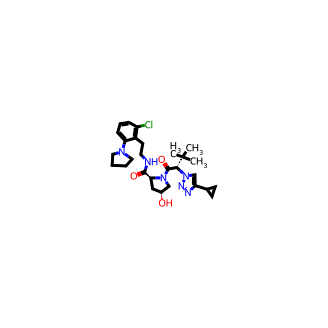 CC(C)(C)[C@@H](C(=O)N1C[C@H](O)C[C@H]1C(=O)NCCc1c(Cl)cccc1N1CCCC1)n1cc(C2CC2)nn1